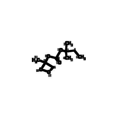 CCC(C)(C)OC(=O)OC1(C)COO1